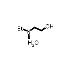 CCN(C)CCO.O